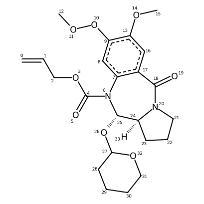 C=CCOC(=O)N1c2cc(OOC)c(OC)cc2C(=O)N2CCC[C@H]2[C@@H]1OC1CCCCO1